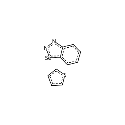 c1ccc2[se]nnc2c1.c1ccsc1